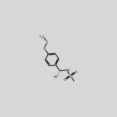 CC(C)[C@@H](NS(C)(=O)=O)c1ccc(OSC(F)(F)F)cc1